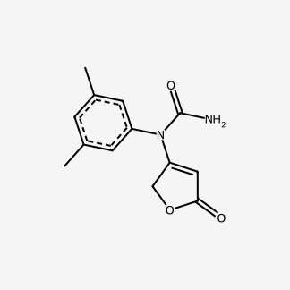 Cc1cc(C)cc(N(C(N)=O)C2=CC(=O)OC2)c1